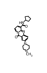 CN1CCN(c2ccc3nc4c(C(=O)NC5CCCC5)cccn4c(=O)c3c2)CC1